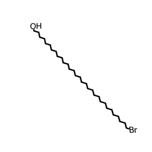 OCCCCCCCCCCCCCCCCCCCCCCCCCCCCCCCBr